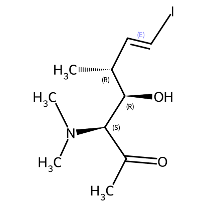 CC(=O)[C@H]([C@H](O)[C@H](C)/C=C/I)N(C)C